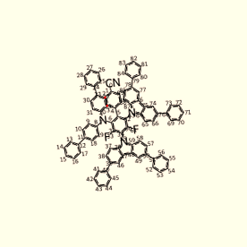 N#Cc1ccc(-c2c(N(c3ccc(-c4ccccc4)cc3)c3ccc(-c4ccccc4)cc3)c(F)c(-n3c4ccc(-c5ccccc5)cc4c4cc(-c5ccccc5)ccc43)c(F)c2-n2c3ccc(-c4ccccc4)cc3c3cc(-c4ccccc4)ccc32)cc1